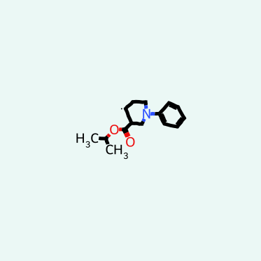 CC(C)OC(=O)C1[CH]CCN(c2ccccc2)C1